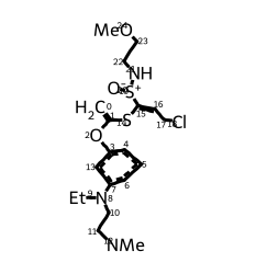 C=C(Oc1cccc(N(CC)CCNC)c1)S/C(=C\CCl)[S+]([O-])NCCOC